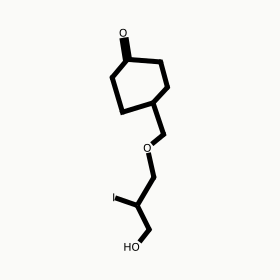 O=C1CCC(COCC(I)CO)CC1